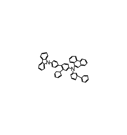 C1=CCC(c2cc(N(c3cccc(-c4ccccc4)c3)c3cc4ccccc4c4ccccc34)ccc2-c2ccc(-n3c4ccccc4c4ccccc43)cc2)C=C1